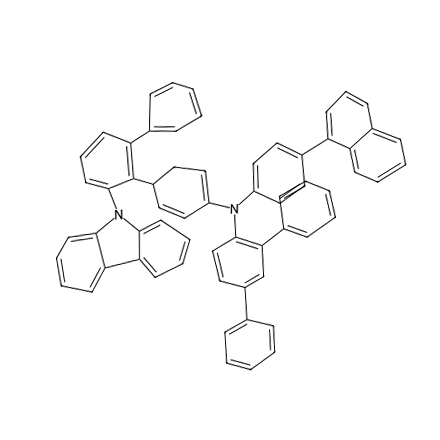 C1=CC(c2c(-c3ccccc3)cccc2-n2c3ccccc3c3ccccc32)CC=C1N(c1ccc(-c2cccc3ccccc23)cc1)c1ccc(-c2ccccc2)cc1-c1ccccc1